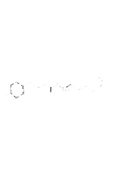 Cc1ccc(CCCC(=O)N/N=C/CCCC(N)C(=O)O)cc1